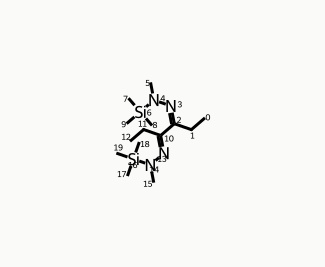 CCC(=NN(C)[Si](C)(C)C)C(CC)=NN(C)[Si](C)(C)C